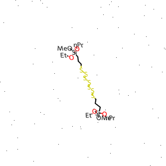 CCCO[Si](CCCSSSSSSSCCC[Si](OC)(OCC)OCCC)(OC)OCC